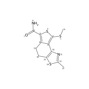 CSc1sc(C(N)=O)c2c1-c1nc(C)sc1CC2